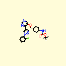 CC(C)(C)OC(=O)N[C@H]1CC[C@H](COc2cncnc2-c2cnn(-c3ccccc3F)c2)CC1